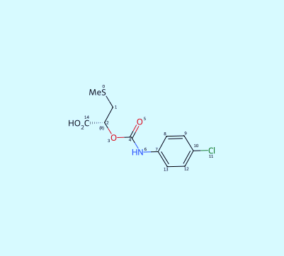 CSC[C@H](OC(=O)Nc1ccc(Cl)cc1)C(=O)O